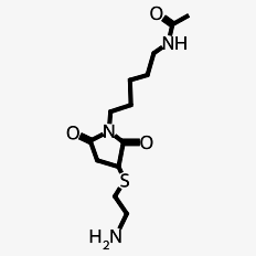 CC(=O)NCCCCCN1C(=O)CC(SCCN)C1=O